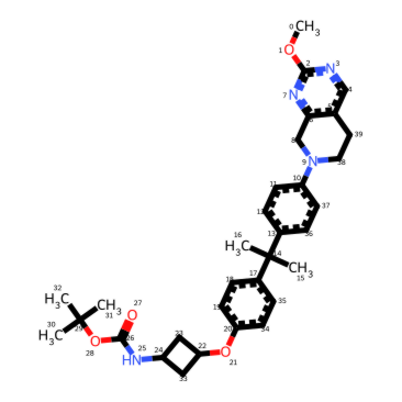 COc1ncc2c(n1)CN(c1ccc(C(C)(C)c3ccc(OC4CC(NC(=O)OC(C)(C)C)C4)cc3)cc1)CC2